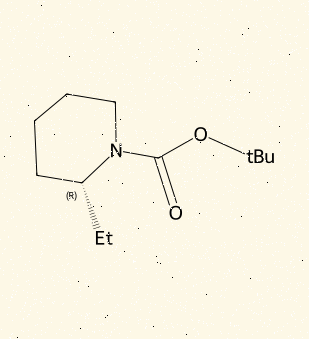 CC[C@@H]1CCCCN1C(=O)OC(C)(C)C